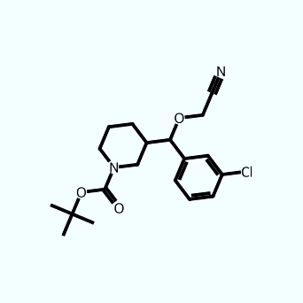 CC(C)(C)OC(=O)N1CCCC(C(OCC#N)c2cccc(Cl)c2)C1